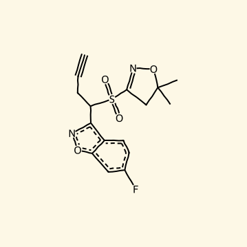 C#CCC(c1noc2cc(F)ccc12)S(=O)(=O)C1=NOC(C)(C)C1